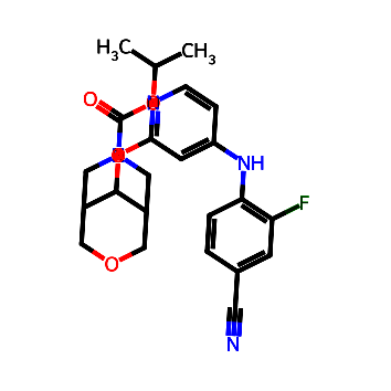 CC(C)OC(=O)N1CC2COCC(C1)C2Oc1cc(Nc2ccc(C#N)cc2F)ccn1